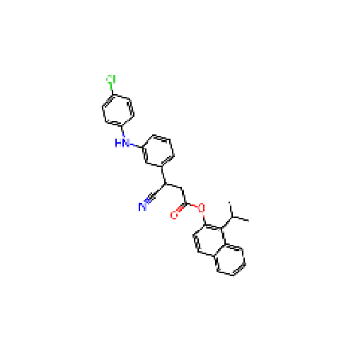 CC(C)c1c(OC(=O)CC(C#N)c2cccc(Nc3ccc(Cl)cc3)c2)ccc2ccccc12